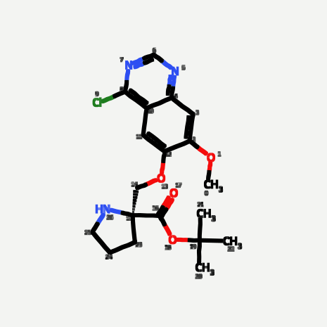 COc1cc2ncnc(Cl)c2cc1OC[C@]1(C(=O)OC(C)(C)C)CCCN1